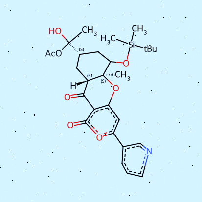 CC(=O)OC(C)(O)[C@@H]1CC(O[Si](C)(C)C(C)(C)C)[C@@]2(C)Oc3cc(-c4cccnc4)oc(=O)c3C(=O)[C@@H]2C1